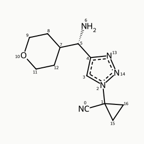 N#CC1(n2cc([C@@H](N)C3CCOCC3)nn2)CC1